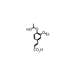 CCOc1cc(/C=C/C(=O)O)ccc1OC(C)O